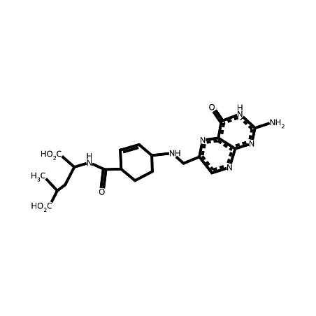 CC(CC(NC(=O)C1C=CC(NCc2cnc3nc(N)[nH]c(=O)c3n2)CC1)C(=O)O)C(=O)O